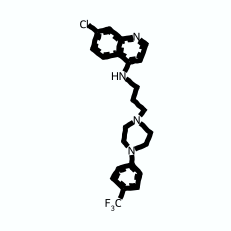 FC(F)(F)c1ccc(N2CCN(CCCNc3ccnc4cc(Cl)ccc34)CC2)cc1